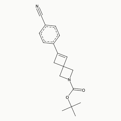 CC(C)(C)OC(=O)N1CC2(C=C(c3ccc(C#N)cc3)C2)C1